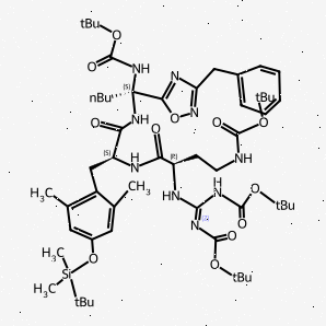 CCCC[C@@](NC(=O)OC(C)(C)C)(NC(=O)[C@H](Cc1c(C)cc(O[Si](C)(C)C(C)(C)C)cc1C)NC(=O)[C@@H](CCNC(=O)OC(C)(C)C)N/C(=N/C(=O)OC(C)(C)C)NC(=O)OC(C)(C)C)c1nc(Cc2ccccc2)no1